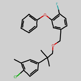 Cc1cc(C(C)(C)COCc2ccc(F)c(Oc3ccccc3)c2)ccc1Cl